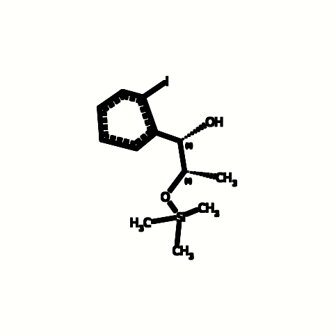 C[C@H](O[Si](C)(C)C)[C@@H](O)c1ccccc1I